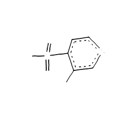 CS(=O)(=O)c1ccncc1I